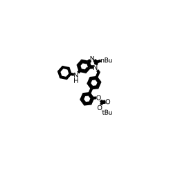 CCCCc1nc2ccc(NC3CCCCC3)cc2n1Cc1ccc(-c2ccccc2OC(=O)OC(C)(C)C)cc1